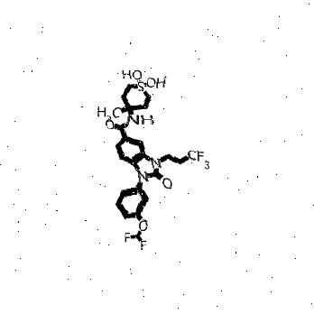 CC1(NC(=O)c2ccc3c(c2)n(CCC(F)(F)F)c(=O)n3-c2cccc(OC(F)F)c2)CCS(O)(O)CC1